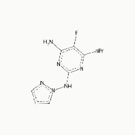 CCCc1nc(Nn2cccn2)nc(N)c1F